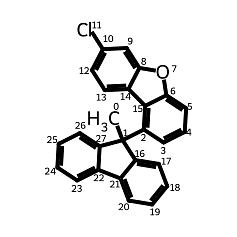 CC1(c2cccc3oc4cc(Cl)ccc4c23)c2ccccc2-c2ccccc21